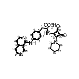 O=C(O)[C@H](Cc1ccc(Nc2nccc3ccncc23)cc1)Nc1c(N2CCCCC2)c(=O)c1=O